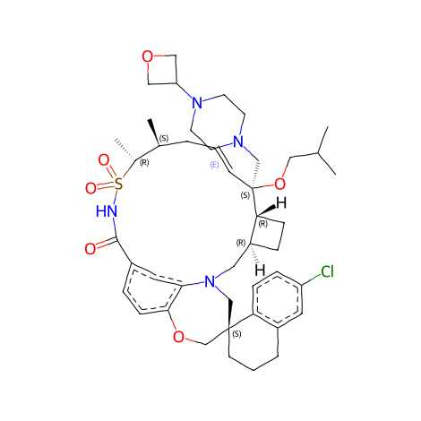 CC(C)CO[C@]1(CN2CCN(C3COC3)CC2)/C=C/C[C@H](C)[C@@H](C)S(=O)(=O)NC(=O)c2ccc3c(c2)N(C[C@@H]2CC[C@H]21)C[C@@]1(CCCc2cc(Cl)ccc21)CO3